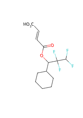 O=C(O)C=CC(=O)OC(C1CCCCC1)C(F)(F)C(F)F